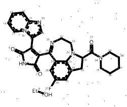 CCO.O=C1NC(=O)C(c2cnc3ccccn23)=C1C1=NCCN2c3c(cc(F)cc31)CC2C(=O)N1CCCCC1